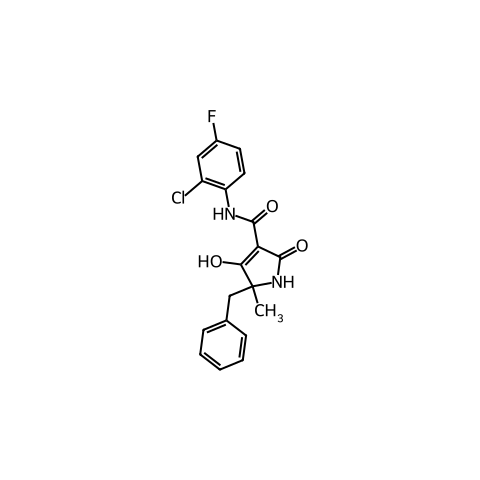 CC1(Cc2ccccc2)NC(=O)C(C(=O)Nc2ccc(F)cc2Cl)=C1O